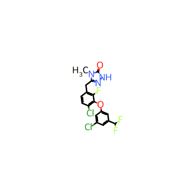 Cn1c(Cc2ccc(Cl)c(Oc3cc(Cl)cc(C(F)F)c3)c2F)n[nH]c1=O